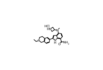 CCN1CCc2cc(-c3cc4c(N(C)C5CNC5)ccc(C(N)=O)c4[nH]3)ccc2C1.Cl